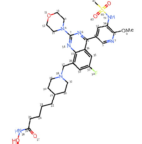 COc1ncc(-c2nc(N3CCOCC3)nc3c(CN4CCC(CCCCC(=O)NO)CC4)cc(F)cc23)cc1NS(C)(=O)=O